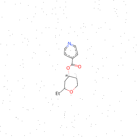 CCC1C[C@H](OC(=O)c2ccncc2)CCO1